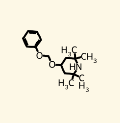 CC1(C)CC(OCOc2ccccc2)CC(C)(C)N1